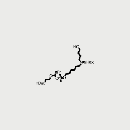 CCCCCCCCCCCCOC(CCC)O[Si](C)(C)OCCCCCCN(CCCCO)CCCCCC